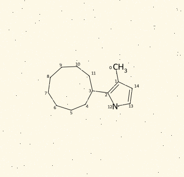 CC1=C(C2CCCCCCCC2)[N]C=C1